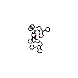 c1ccc(-c2nc(-c3ccccc3)nc(-c3c(-n4c5ccccc5c5c4ccc4c6ccccc6n(-c6ccccc6)c45)ccc4c3c3c(ccc5c6ccccc6n(-c6ccccc6)c53)n4-c3ccccc3)n2)cc1